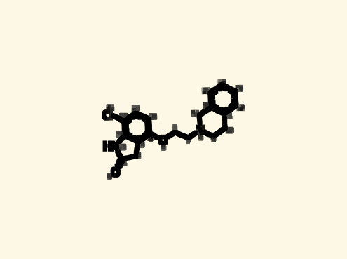 O=C1Cc2c(OCCN3CCc4ccccc4C3)ccc(Cl)c2N1